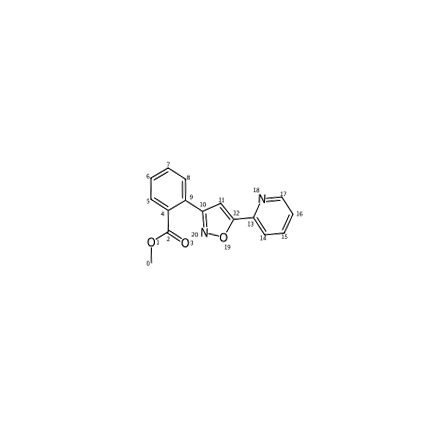 COC(=O)c1ccccc1-c1cc(-c2ccccn2)on1